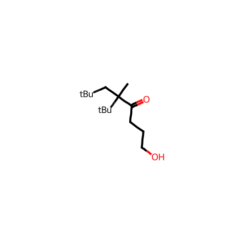 CC(C)(C)CC(C)(C(=O)CCCO)C(C)(C)C